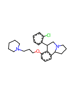 Clc1ccccc1C1CN2CCCC2c2cccc(OCCCN3CCCCC3)c21